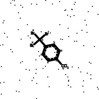 ClC(Cl)(Cl)c1ccc(C(Br)(Br)Br)cc1